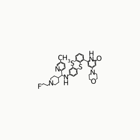 Cc1ccc(C(Nc2ccc3c(c2)Sc2cccc(-c4cc(N5CCOCC5)cc(=O)[nH]4)c2S3)C2CCN(CCF)CC2)nc1